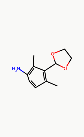 Cc1ccc(N)c(C)c1C1OCCO1